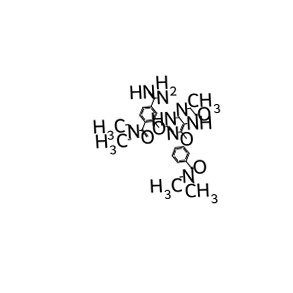 CCN(CC)C(=O)c1cccc(OC2=C3NC(=O)C(C)N=C3NC(Oc3cc(C(=N)N)ccc3C(=O)N(CC)CC)=N2)c1